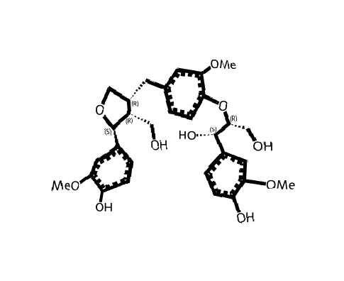 COc1cc([C@H]2OC[C@H](Cc3ccc(O[C@H](CO)[C@@H](O)c4ccc(O)c(OC)c4)c(OC)c3)[C@@H]2CO)ccc1O